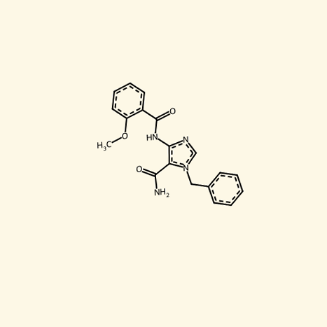 COc1ccccc1C(=O)Nc1ncn(Cc2ccccc2)c1C(N)=O